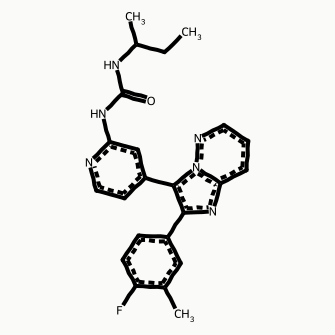 CCC(C)NC(=O)Nc1cc(-c2c(-c3ccc(F)c(C)c3)nc3cccnn23)ccn1